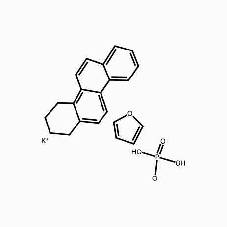 O=P([O-])(O)O.[K+].c1ccc2c(c1)ccc1c3c(ccc12)CCCC3.c1ccoc1